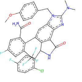 COc1ccc(Cn2c(N(C)C)nc3c4c(c(-c5c(C(N)=O)cc(F)cc5C(F)(F)F)cc32)C(c2cc(F)ccc2Cl)NC4=O)cc1